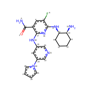 NC(=O)c1cc(F)c(N[C@@H]2CCCC[C@@H]2N)nc1Nc1cncc(-n2cccc2)c1